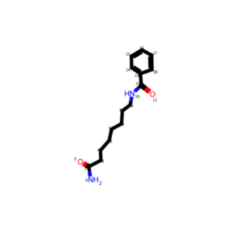 NC(=O)CCCCCCCNC(=O)c1ccccc1